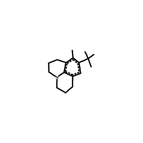 Cc1c(C(C)(C)C)cc2c3c1CCCN3CCC2